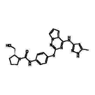 Cc1cc(Nc2nc(Sc3ccc(NC(=O)N4CCC[C@@H]4CO)cc3)nn3cccc23)n[nH]1